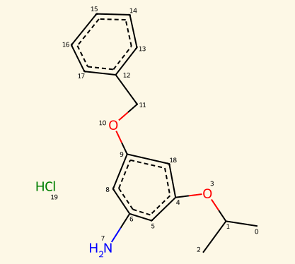 CC(C)Oc1cc(N)cc(OCc2ccccc2)c1.Cl